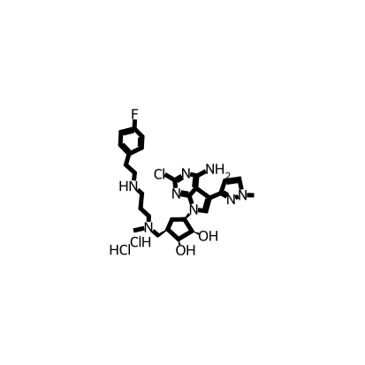 CN(CCCNCCc1ccc(F)cc1)C[C@H]1C[C@@H](n2cc(-c3ccn(C)n3)c3c(N)nc(Cl)nc32)[C@H](O)[C@@H]1O.Cl.Cl